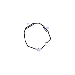 [C]1=C\CC/C=C\CCC/C=C\C/1